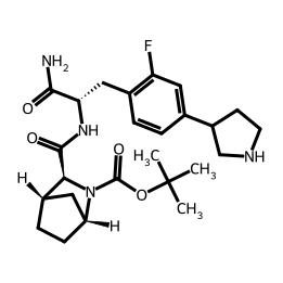 CC(C)(C)OC(=O)N1[C@@H]2CC[C@@H](C2)[C@H]1C(=O)N[C@@H](Cc1ccc(C2CCNC2)cc1F)C(N)=O